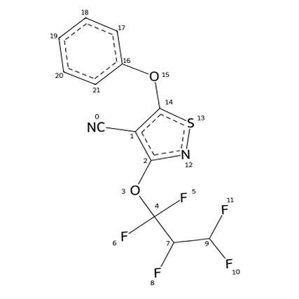 N#Cc1c(OC(F)(F)C(F)C(F)F)nsc1Oc1ccccc1